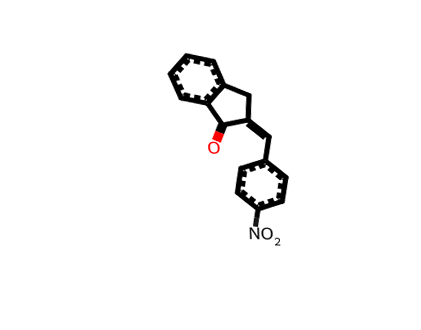 O=C1/C(=C\c2ccc([N+](=O)[O-])cc2)Cc2ccccc21